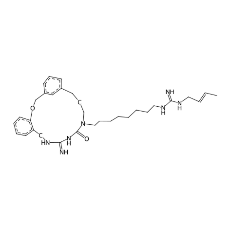 C/C=C/CNC(=N)NCCCCCCCCN1CCCc2cccc(c2)COc2ccccc2CNC(=N)NC1=O